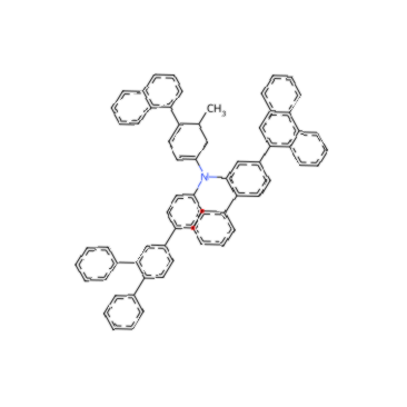 CC1CC(N(c2ccc(-c3ccc(-c4ccccc4)c(-c4ccccc4)c3)cc2)c2cc(-c3cc4ccccc4c4ccccc34)ccc2-c2ccccc2)=CC=C1c1cccc2ccccc12